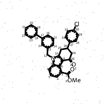 COC(=O)c1cccc2c1c1c(n2Cc2cccc(-c3ccccc3)c2)CC(c2ccc(Cl)cc2)CC1=O